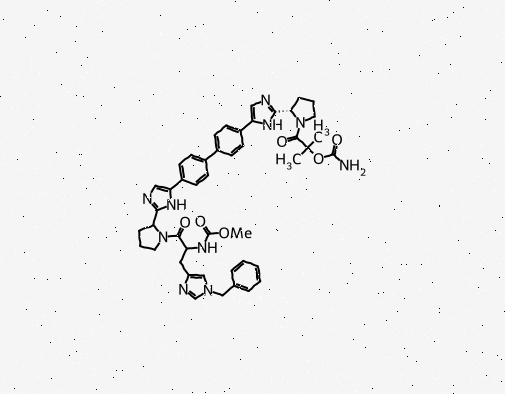 COC(=O)NC(Cc1cn(Cc2ccccc2)cn1)C(=O)N1CCCC1c1ncc(-c2ccc(-c3ccc(-c4cnc([C@@H]5CCCN5C(=O)C(C)(C)OC(N)=O)[nH]4)cc3)cc2)[nH]1